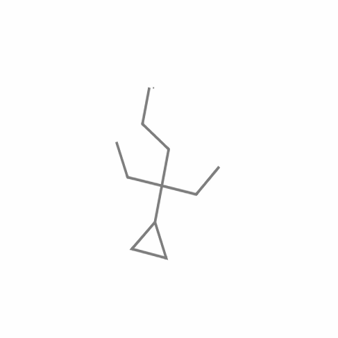 [CH2]CCC(CC)(CC)C1CC1